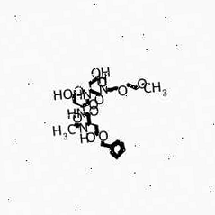 COCCOCCNC(=O)[C@H](CC(=O)O)NC(=O)[C@H](CC(=O)O)NC(=O)[C@@H](CC(=O)OCc1ccccc1)NC(C)=O